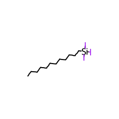 CCCCCCCCCCCC[Si](I)(I)I